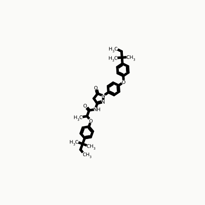 CCC(C)(C)c1ccc(Oc2ccc(N3N=C(NC(=O)C(C)Oc4ccc(C(C)(C)CC)cc4)CC3=O)cc2)cc1